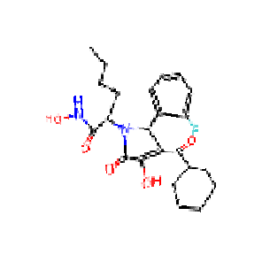 CCCCC(C(=O)NO)N1C(=O)C(O)=C(C(=O)C2CCCCC2)C1c1ccccc1F